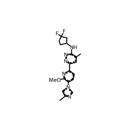 COc1nc(-c2cc(C)c(NC3CCC(F)(F)C3)nn2)ccc1-n1cnc(C)c1